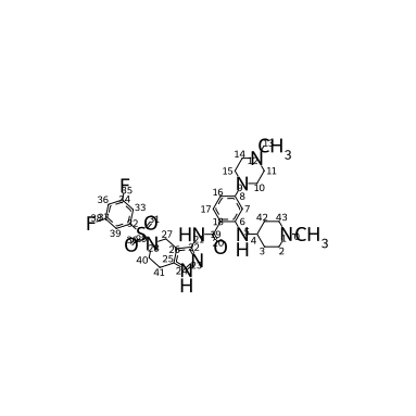 CN1CCC(Nc2cc(N3CCN(C)CC3)ccc2C(=O)Nc2n[nH]c3c2CN(S(=O)(=O)c2cc(F)cc(F)c2)CC3)CC1